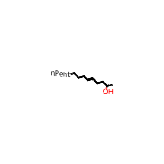 CCCCCCCCC=CCCC(C)O